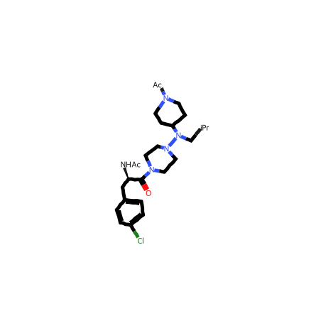 CC(=O)N[C@H](Cc1ccc(Cl)cc1)C(=O)N1CCN(N(CC(C)C)C2CCN(C(C)=O)CC2)CC1